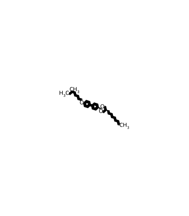 CCCCCCCCC[C@H]1CO[C@H](c2ccc(-c3ccc(OCCCCC[C@@H](C)CC)cc3)cc2)OC1